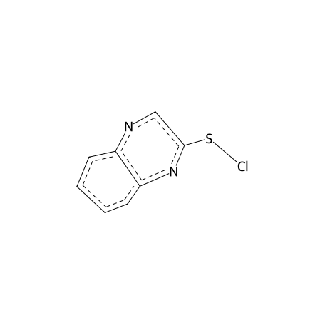 ClSc1cnc2ccccc2n1